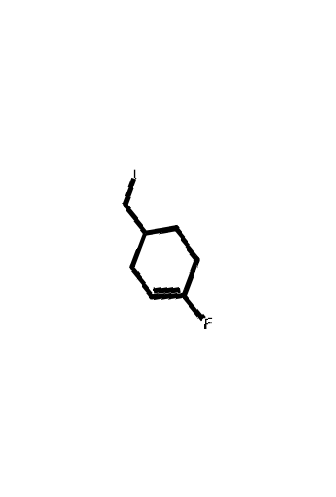 FC1=CCC(CI)CC1